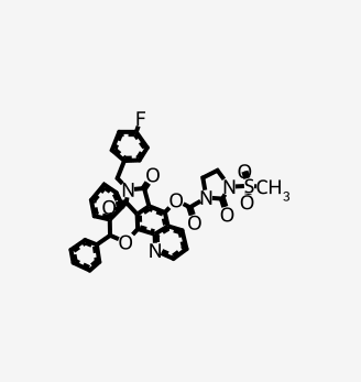 CS(=O)(=O)N1CCN(C(=O)Oc2c3c(c(OC(c4ccccc4)c4ccccc4)c4ncccc24)C(=O)N(Cc2ccc(F)cc2)C3=O)C1=O